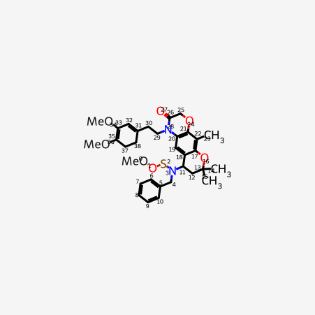 COOSN(Cc1ccccc1)C1CC(C)(C)Oc2c1cc1c(c2C)OCC(=O)N1CCC1=CC(OC)=C(OC)CC1